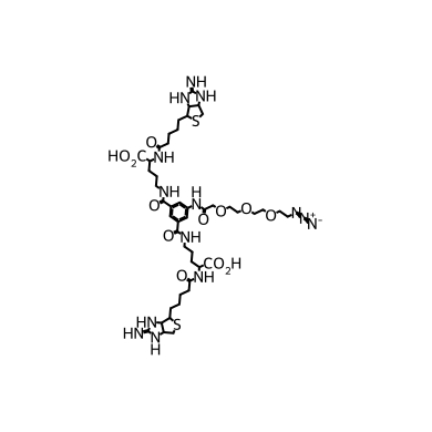 [N-]=[N+]=NCCOCCOCCOCC(=O)Nc1cc(C(=O)NCCCC(NC(=O)CCCCC2SCC3NC(=N)NC32)C(=O)O)cc(C(=O)NCCCC(NC(=O)CCCCC2SCC3NC(=N)NC32)C(=O)O)c1